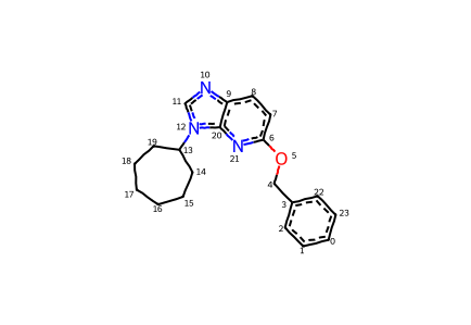 c1ccc(COc2ccc3ncn(C4CCCCCC4)c3n2)cc1